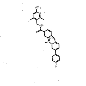 Cc1cc(N)nc(C)c1CNC(=O)C1=CC2C(C=C1)C1OC2(C)C2CC(c3ccc(F)cc3)=CC=C12